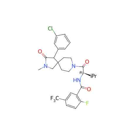 CC(C)[C@@H](NC(=O)c1cc(C(F)(F)F)ccc1F)C(=O)N1CCC2(CC1)CN(C)C(=O)C2c1cccc(Cl)c1